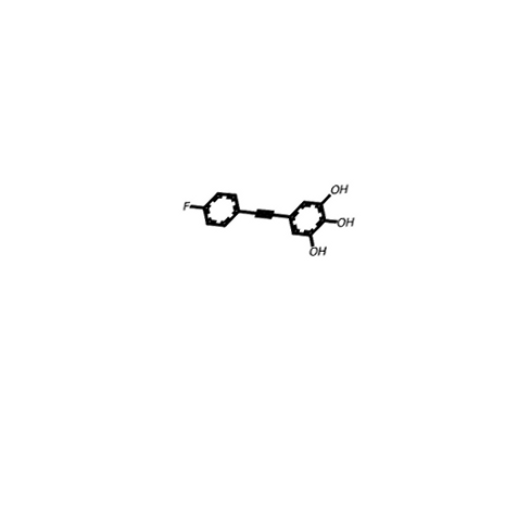 Oc1cc(C#Cc2ccc(F)cc2)cc(O)c1O